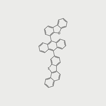 c1ccc2c(c1)ccc1c3ccc(-c4c5ccccc5c(-c5cccc6c5oc5ccccc56)c5ccccc45)cc3sc21